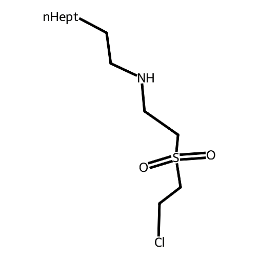 CCCCCCCCCNCCS(=O)(=O)CCCl